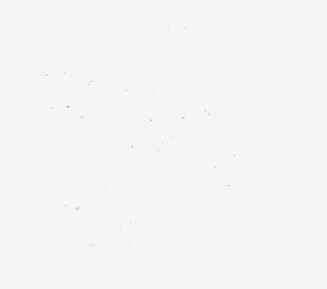 CC(C)(C)c1ccc2c(c1)c1cc(C(C)(C)C)cc3c1n2-c1c2c(cc4c1sc1ccccc14)-c1c(ccc4c1oc1cc5c(cc14)C(C)(C)CCC5(C)C)N(c1cccc4c1oc1cc5c(cc14)C(C)(C)CCC5(C)C)B23